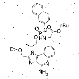 CCCCOC(=O)[C@H](C)NP(=O)(OC[C@H](C)n1c(COCC)nc2c(N)nc3ccccc3c21)Oc1ccc2ccccc2c1